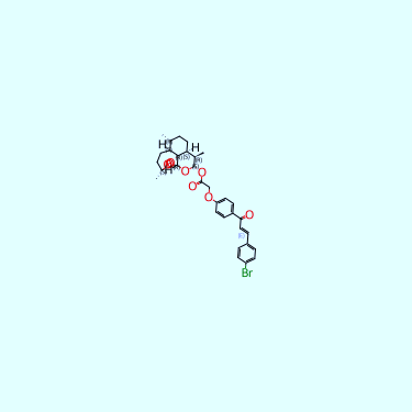 C[C@H]1[C@H](OC(=O)COc2ccc(C(=O)/C=C/c3ccc(Br)cc3)cc2)O[C@@H]2O[C@]3(C)CC[C@H]4[C@H](C)CC[C@@H]1[C@@]24OO3